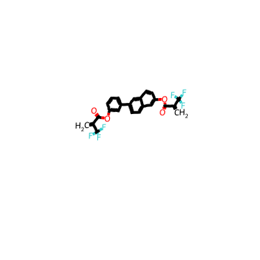 C=C(C(=O)Oc1cccc(-c2ccc3cc(OC(=O)C(=C)C(F)(F)F)ccc3c2)c1)C(F)(F)F